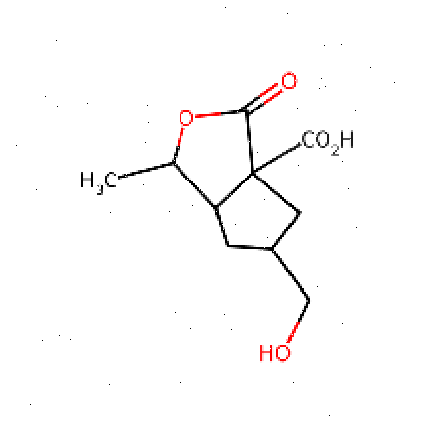 CC1OC(=O)C2(C(=O)O)CC(CO)CC12